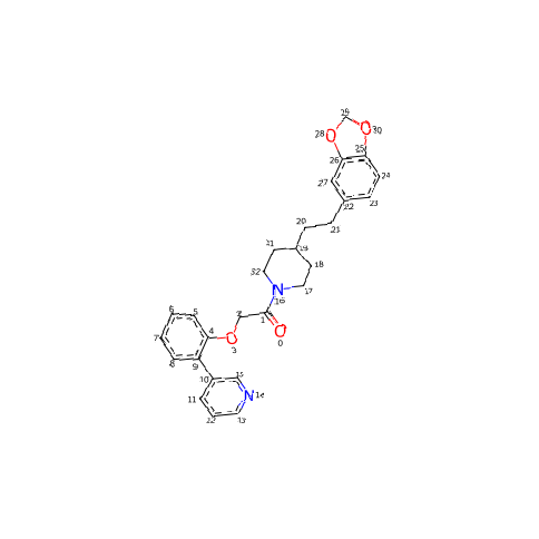 O=C(COc1ccccc1-c1cccnc1)N1CCC(CCc2ccc3c(c2)OCO3)CC1